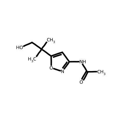 CC(=O)Nc1cc(C(C)(C)CO)on1